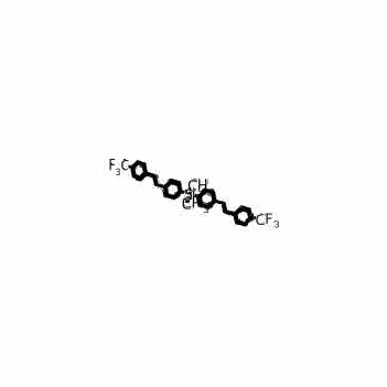 C[Si](C)(c1ccc(/C=C/c2ccc(C(F)(F)F)cc2)cc1)c1ccc(/C=C/c2ccc(C(F)(F)F)cc2)cc1